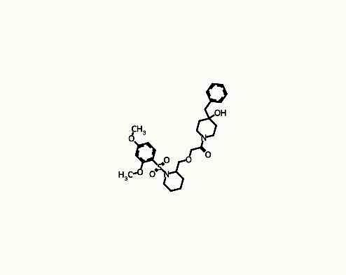 COc1ccc(S(=O)(=O)N2CCCCC2COCC(=O)N2CCC(O)(Cc3ccccc3)CC2)c(OC)c1